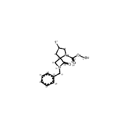 CC(C)(C)OC(=O)N1CC(F)CC12CN(Cc1ccccc1)C2=O